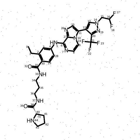 CCc1cc(Nc2nccn3c(-c4cn(CC(F)F)nc4C(F)(F)F)cnc23)ccc1C(=O)NCCCNC(=O)[C@@H]1CCCN1